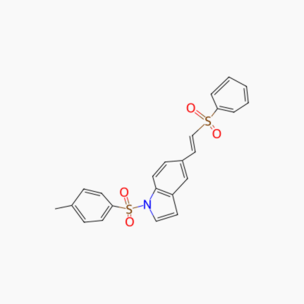 Cc1ccc(S(=O)(=O)n2ccc3cc(/C=C/S(=O)(=O)c4ccccc4)ccc32)cc1